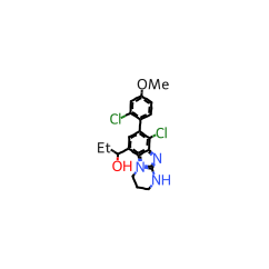 CCC(O)c1cc(-c2ccc(OC)cc2Cl)c(Cl)c2nc3n(c12)CCCN3